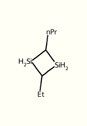 CCCC1[SiH2]C(CC)[SiH2]1